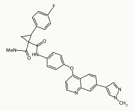 CNC(=O)C1(C(=O)Nc2ccc(Oc3ccnc4cc(-c5cnn(C)c5)ccc34)cc2)CC1c1ccc(F)cc1